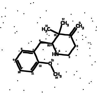 C=C1CCN[C@@H](Cc2ccccc2OC)C1(C)C